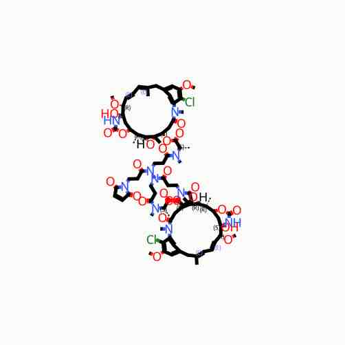 COc1cc2cc(c1Cl)N(C)C(=O)C[C@H](OC(=O)[C@H](C)N(C)C(=O)CCN(C(=O)CCN1C(=O)C=CC1=O)N(CCC(=O)N(C)[C@@H](C)C(=O)O[C@H]1CC(=O)N(C)c3cc(cc(OC)c3Cl)C/C(C)=C/C=C/[C@@H](OC)[C@@]3(O)CC(OC(=O)N3)[C@@H](C)[C@H]3OC13C)C(=O)CCN1C(=O)C=CC1=O)C1(C)O[C@@H]1[C@H](C)C1C[C@@](O)(NC(=O)O1)[C@H](OC)/C=C/C=C(\C)C2